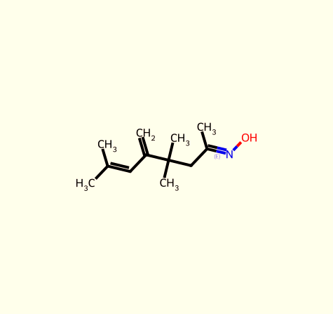 C=C(C=C(C)C)C(C)(C)C/C(C)=N/O